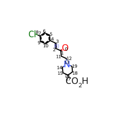 O=C(/C=C/c1ccc(Cl)cc1)CCN1CCC(C(=O)O)CC1